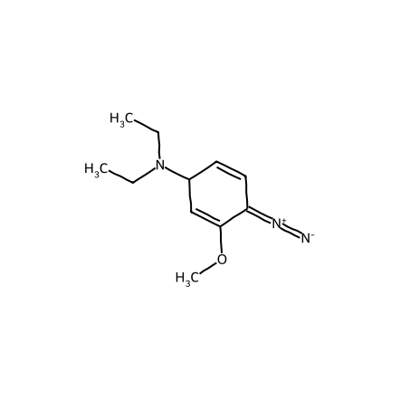 CCN(CC)C1C=CC(=[N+]=[N-])C(OC)=C1